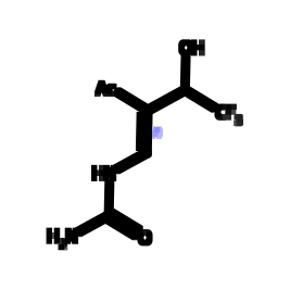 CC(=O)/C(=C\NC(N)=O)C(O)C(F)(F)F